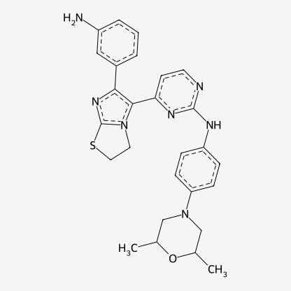 CC1CN(c2ccc(Nc3nccc(-c4c(-c5cccc(N)c5)nc5n4CCS5)n3)cc2)CC(C)O1